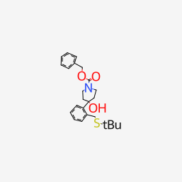 CC(C)(C)SCc1ccccc1C1(O)CCN(C(=O)OCc2ccccc2)CC1